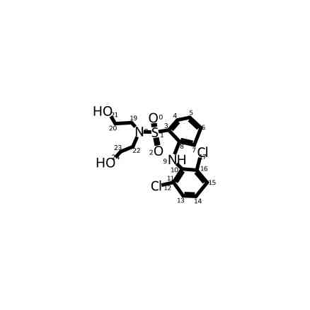 O=S(=O)(c1ccccc1Nc1c(Cl)cccc1Cl)N(CCO)CCO